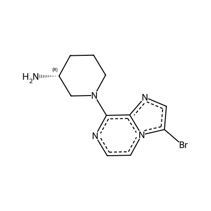 N[C@@H]1CCCN(c2nccn3c(Br)cnc23)C1